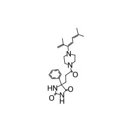 C=C(C)/C(=C\C=C(C)C)N1CCN(C(=O)CCC2(c3ccccc3)NC(=O)NC2=O)CC1